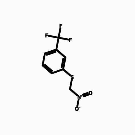 O=[N+]([O-])CSc1cccc(C(F)(F)F)c1